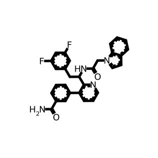 NC(=O)c1cccc(-c2cccnc2C(Cc2cc(F)cc(F)c2)NC(=O)Cn2ccc3ccccc32)c1